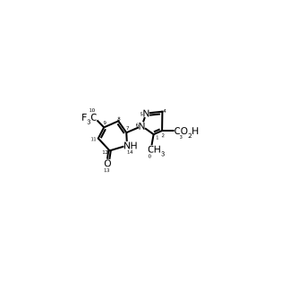 Cc1c(C(=O)O)cnn1-c1cc(C(F)(F)F)cc(=O)[nH]1